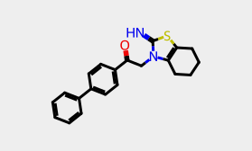 N=c1sc2c(n1CC(=O)c1ccc(-c3ccccc3)cc1)CCCC2